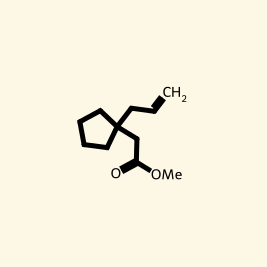 C=CCC1(CC(=O)OC)CCCC1